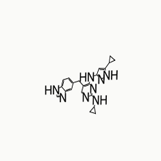 c1nc2cc(Cc3cnc(NC4CC4)nc3Nc3cc(C4CC4)[nH]n3)ccc2[nH]1